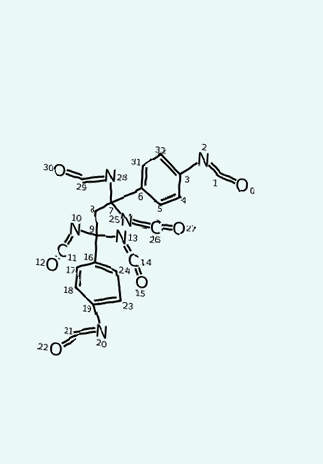 O=C=Nc1ccc(C(CC(N=C=O)(N=C=O)c2ccc(N=C=O)cc2)(N=C=O)N=C=O)cc1